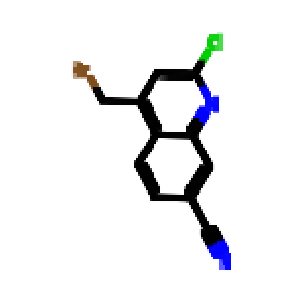 N#Cc1ccc2c(CBr)cc(Cl)nc2c1